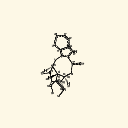 CC[C@@H]1CN(C)[C@H]2Cc3c([nH]c4ccccc34)C(=O)C[C@@H]1[C@@H]2C(=O)OC